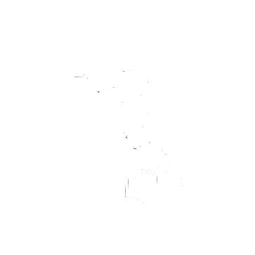 CC[C@@H](Nc1c(Nc2cccc(C(=O)N(C)C)c2OC)c(=O)c1=O)c1ccccc1